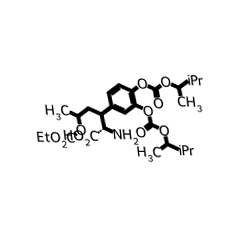 CCOC(=O)OC(C)CC(c1ccc(OC(=O)OC(C)C(C)C)c(OC(=O)OC(C)C(C)C)c1)[C@H](N)C(=O)O